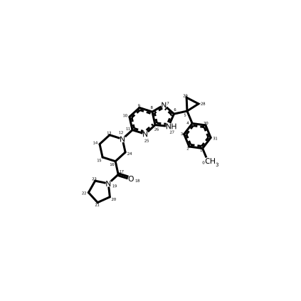 Cc1ccc(C2(c3nc4ccc(N5CCCC(C(=O)N6CCCC6)C5)nc4[nH]3)CC2)cc1